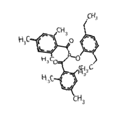 CCc1ccc(CC)c(OP(C(=O)c2c(C)cc(C)cc2C)C(=O)c2c(C)cc(C)cc2C)c1